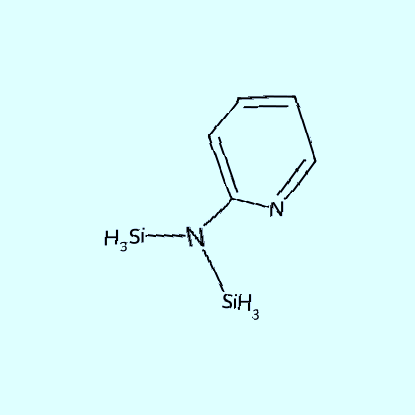 [SiH3]N([SiH3])c1ccccn1